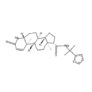 CC(C)(NC(=O)[C@H]1CC[C@H]2[C@@H]3CC[C@H]4NC(=O)C=C[C@]4(C)[C@H]3CC[C@]12C)c1cccs1